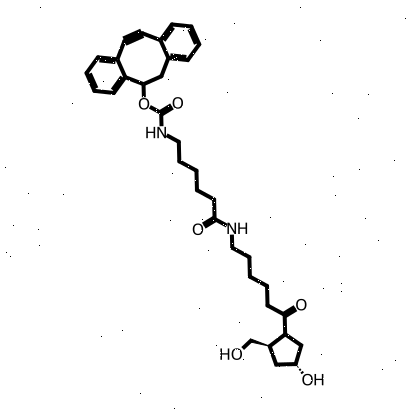 O=C(CCCCCNC(=O)OC1Cc2ccccc2C#Cc2ccccc21)NCCCCCC(=O)C1C[C@H](O)C[C@H]1CO